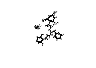 Cc1cccc(C)c1NCCN(CCNc1c(C(C)C)cc(C(C)C)cc1C(C)C)Cc1ccccn1.[Cl-].[Cl-].[Co+2]